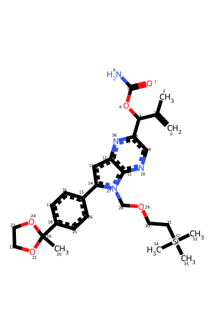 C=C(C)C(OC(N)=O)c1cnc2c(cc(-c3ccc(C4(C)OCCO4)cc3)n2COCC[Si](C)(C)C)n1